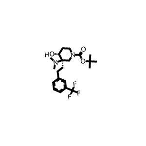 CN(C)[C@]1(CCc2cccc(C(F)(F)F)c2)CN(C(=O)OC(C)(C)C)CC[C@@H]1O